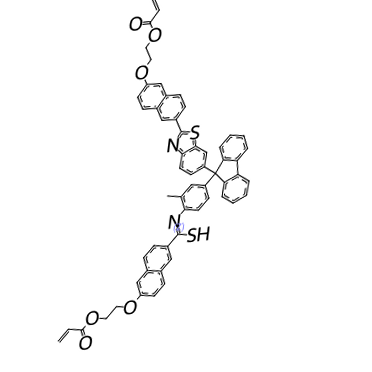 C=CC(=O)OCCOc1ccc2cc(/C(S)=N/c3ccc(C4(c5ccc6nc(-c7ccc8cc(OCCOC(=O)C=C)ccc8c7)sc6c5)c5ccccc5-c5ccccc54)cc3C)ccc2c1